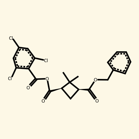 CC1(C)[C@@H](C(=O)OCc2ccccc2)C[C@H]1C(=O)OC(=O)c1c(Cl)cc(Cl)cc1Cl